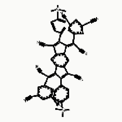 C=C(/C=C\C(=C)[Si](C)(C)C)C1=C(C#N)c2cc3c(cc2/C1=C(\C#N)c1cc(C#N)cc(C#N)c1)C(C#N)=C(c1ccc([Si](C)(C)C)cc1)/C3=C(/C#N)c1cc(C#N)cc(C#N)c1